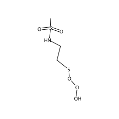 CS(=O)(=O)NCCSOOO